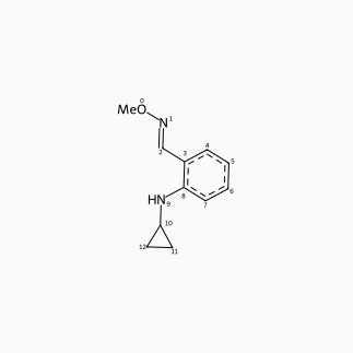 CON=Cc1ccccc1NC1CC1